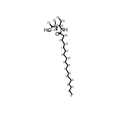 CCCCCCCCCCCCCCCCCC(=O)NC(CC)[N+](C)(C)C(C)O